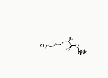 CCC(CC=CCC(Cl)(Cl)Cl)C(=O)ONC(C)=O